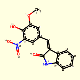 COc1cc(C=C2C(=O)Nc3ccccc32)cc([N+](=O)[O-])c1O